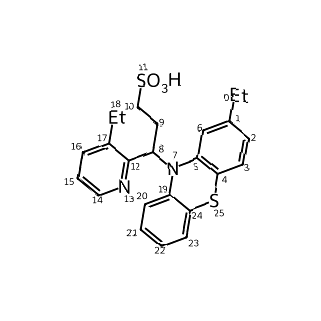 CCc1ccc2c(c1)N(C(CCS(=O)(=O)O)c1ncccc1CC)c1ccccc1S2